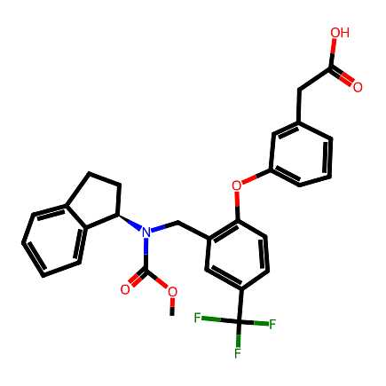 COC(=O)N(Cc1cc(C(F)(F)F)ccc1Oc1cccc(CC(=O)O)c1)[C@@H]1CCc2ccccc21